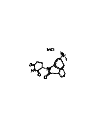 Cl.Nc1cc2c3c(cccc3c1)C(=O)N2C1CCC(=O)NC1=O